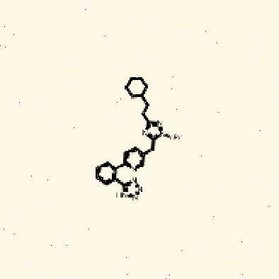 CCCn1nc(CCC2CCCCC2)nc1Cc1ccc(-c2ccccc2-c2nnn[nH]2)nc1